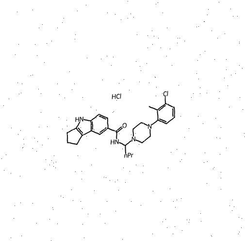 CCCC(NC(=O)c1ccc2[nH]c3c(c2c1)CCC3)N1CCN(c2cccc(Cl)c2C)CC1.Cl